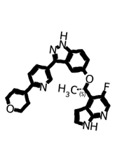 C[C@H](Oc1ccc2[nH]nc(-c3ccc(C4=CCOCC4)nc3)c2c1)c1c(F)cnc2[nH]ccc12